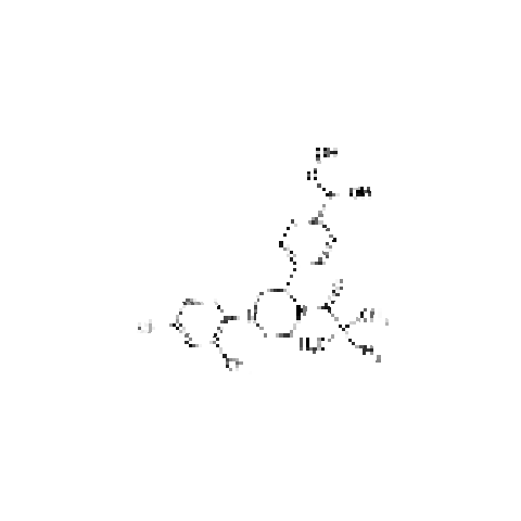 Cc1cc(Cl)ccc1N1CCN(C(=O)C(C)(C)C)C(c2ccc(B(O)OO)cc2)C1